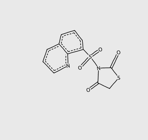 O=C1CSC(=O)N1S(=O)(=O)c1cccc2cccnc12